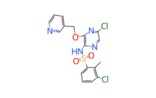 Cc1c(Cl)cccc1S(=O)(=O)Nc1ncc(Cl)nc1OCc1cccnc1